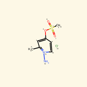 Cc1cc(OS(C)(=O)=O)cc[n+]1N.[Cl-]